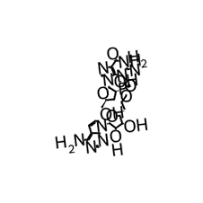 Nc1nc2c(ncn2[C@@H]2O[C@H](CO)C[C@H]2P(=O)(O)OCC[C@H]2O[C@@H](n3ccc4c(N)ncnc43)[C@H](O)[C@@H]2O)c(=O)[nH]1